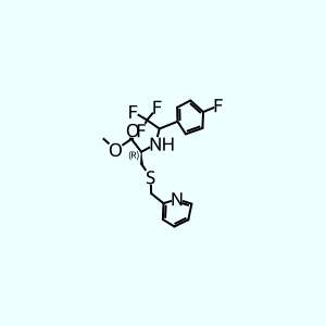 COC(=O)[C@H](CSCc1ccccn1)NC(c1ccc(F)cc1)C(F)(F)F